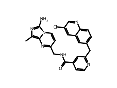 Cc1nc(N)n2ccc(CNC(=O)c3ccnc(Cc4ccc5ncc(Cl)cc5c4)c3)nc12